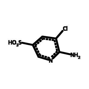 Nc1ncc(S(=O)(=O)O)cc1Cl